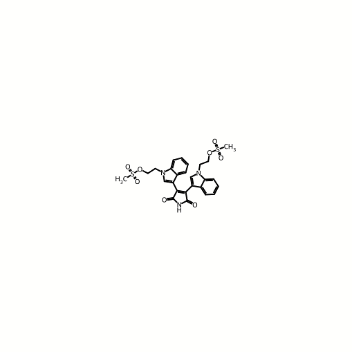 CS(=O)(=O)OCCn1cc(C2=C(c3cn(CCOS(C)(=O)=O)c4ccccc34)C(=O)NC2=O)c2ccccc21